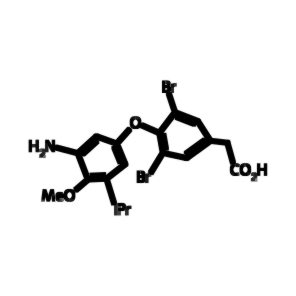 COc1c(N)cc(Oc2c(Br)cc(CC(=O)O)cc2Br)cc1C(C)C